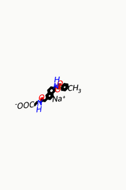 Cc1ccc(S(=O)(=O)NC2CCc3cc(CC(=O)NCCC(=O)[O-])ccc3C2)cc1.[Na+]